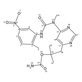 Cc1ccc([N+](=O)[O-])cc1NC(=O)N(C)c1cc(CC(C)(C)OC(N)=O)ncn1